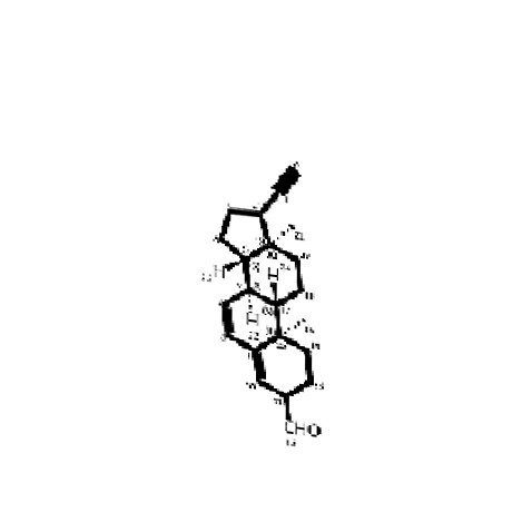 C#CC1CC[C@H]2[C@@H]3C=CC4=CC(C=O)CC[C@]4(C)[C@H]3CC[C@]12C